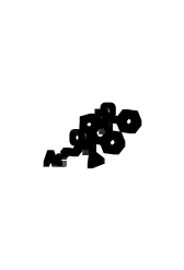 CC(=O)CCC(=O)N(C1CC1)[C@@H]1c2ccccc2N(C(=O)c2ccccc2)[C@@H]2CCC[C@@H]21